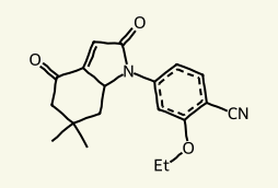 CCOc1cc(N2C(=O)C=C3C(=O)CC(C)(C)CC32)ccc1C#N